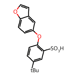 CC(C)(C)c1ccc(Oc2ccc3occc3c2)c(S(=O)(=O)O)c1